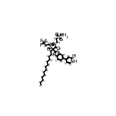 CCCCCCCCCCCCCCC(C(=O)NCCS(N)(=O)=O)(c1nc2ccc(-c3cc[nH]c(=O)c3)cc2s1)S(=O)(=O)CCC(F)(F)F